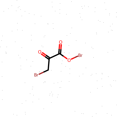 O=C(CBr)C(=O)OBr